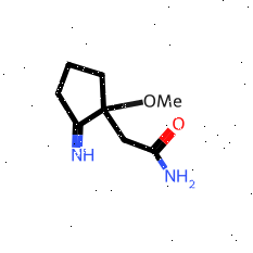 COC1(CC(N)=O)CCCC1=N